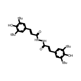 CC(C)(C)c1cc(/C=C/C(=O)NNC(=O)/C=C/c2cc(C(C)(C)C)c(O)c(C(C)(C)C)c2)cc(C(C)(C)C)c1O